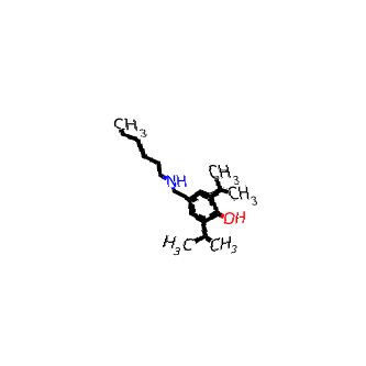 CCCCCCNCc1cc(C(C)C)c(O)c(C(C)C)c1